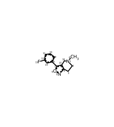 CN1CCc2noc(-c3cccc(F)c3)c2C1